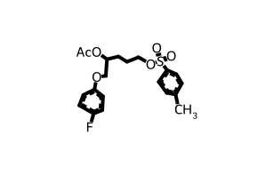 CC(=O)OC(CCCOS(=O)(=O)c1ccc(C)cc1)COc1ccc(F)cc1